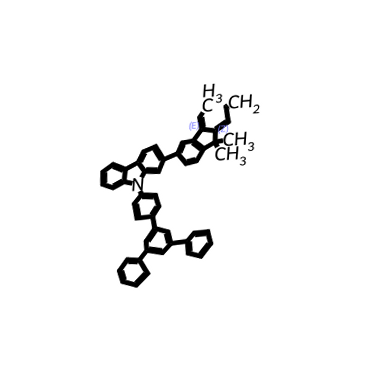 C=C/C=C1\C(=C/C)c2cc(-c3ccc4c5ccccc5n(-c5ccc(-c6cc(-c7ccccc7)cc(-c7ccccc7)c6)cc5)c4c3)ccc2C1(C)C